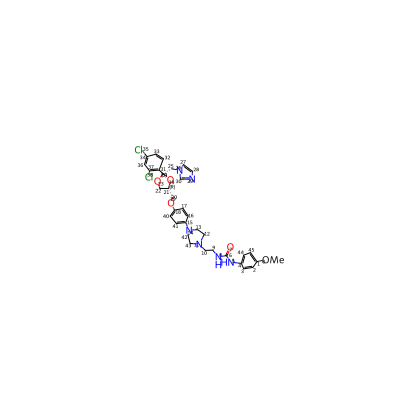 COc1ccc(NC(=O)NCCN2CCN(c3ccc(OC[C@@H]4CO[C@@](Cn5ccnc5)(c5ccc(Cl)cc5Cl)O4)cc3)CC2)cc1